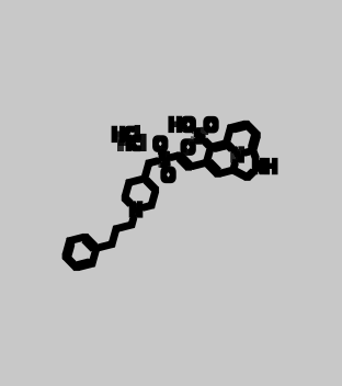 Cl.Cl.O=S(=O)(C=CC1=CC2CNC3=CC=CC(=C1S(=O)(=O)O)N32)CC1CCN(CCCc2ccccc2)CC1